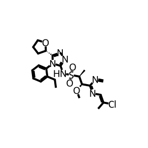 C=N/C(=N\C=C(/C)Cl)[C@@H](OC)[C@H](C)S(=O)(=O)Nc1nnc([C@@H]2CCCO2)n1-c1ccccc1CC